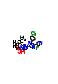 CC(C)(C)C1CN(c2cnc(-c3ccncc3F)c(-c3ccc(Cl)cc3)n2)CCN1C(=O)O